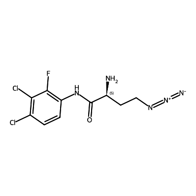 [N-]=[N+]=NCC[C@H](N)C(=O)Nc1ccc(Cl)c(Cl)c1F